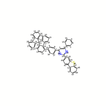 c1ccc(-c2cc(-c3ccc(-c4cccc5c4-c4ccccc4C54c5ccccc5-c5ccccc54)cc3)nc(-c3ccc4c(c3)sc3ccccc34)n2)cc1